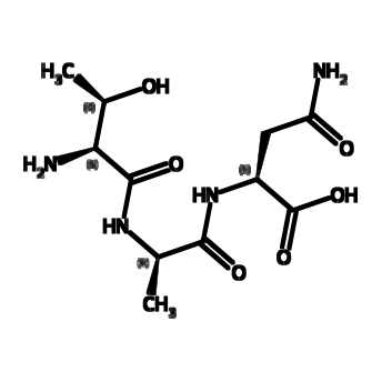 C[C@@H](NC(=O)[C@@H](N)[C@@H](C)O)C(=O)N[C@@H](CC(N)=O)C(=O)O